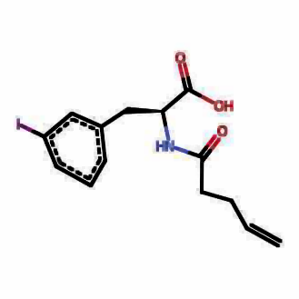 C=CCCC(=O)N[C@@H](Cc1cccc(I)c1)C(=O)O